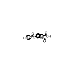 O=CN[C@@H](Cc1ccc(OC(=O)N2CCNCC2)cc1)C(=O)O